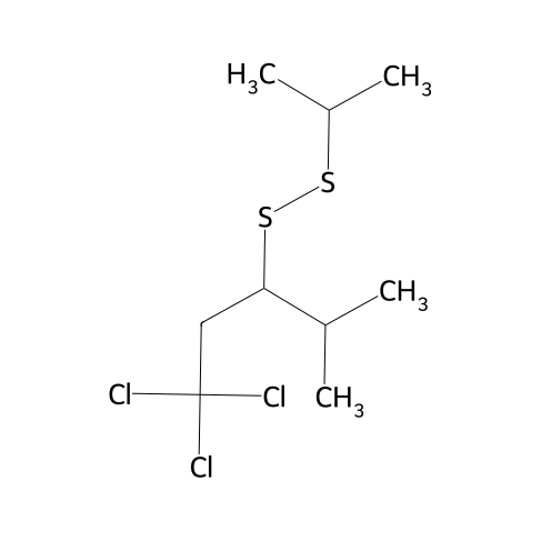 CC(C)SSC(CC(Cl)(Cl)Cl)C(C)C